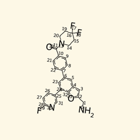 NCc1cc2cc(-c3ccc(C(=O)N4CCC(F)(F)CC4)cc3)cc(-c3ccc(F)nc3)c2o1